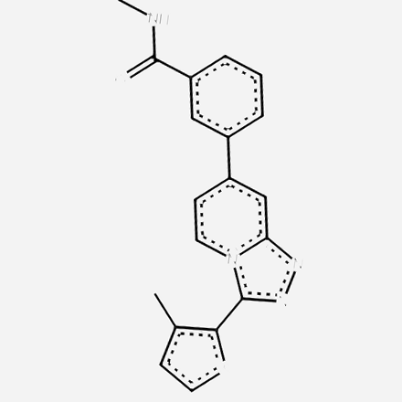 CNC(=O)c1cccc(-c2ccn3c(-c4sccc4C)nnc3c2)c1